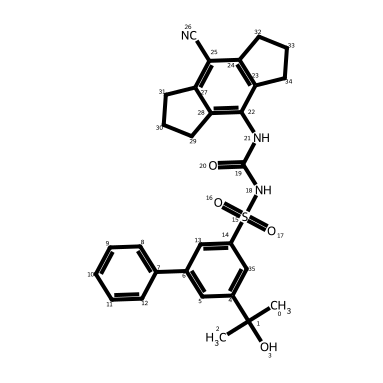 CC(C)(O)c1cc(-c2ccccc2)cc(S(=O)(=O)NC(=O)Nc2c3c(c(C#N)c4c2CCC4)CCC3)c1